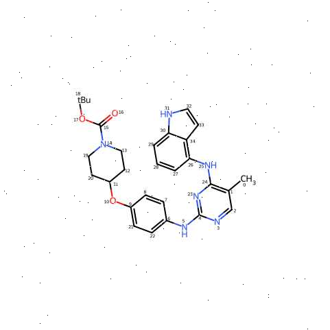 Cc1cnc(Nc2ccc(OC3CCN(C(=O)OC(C)(C)C)CC3)cc2)nc1Nc1cccc2[nH]ccc12